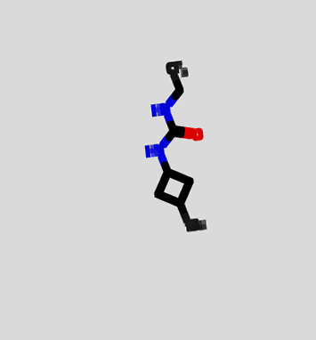 CC(C)(C)C1CC(NC(=O)NCC(F)(F)F)C1